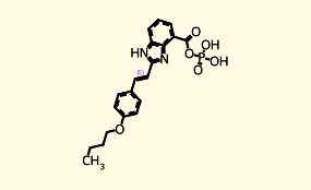 CCCCOc1ccc(/C=C/c2nc3c(C(=O)OP(=O)(O)O)cccc3[nH]2)cc1